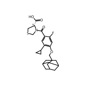 O=C(O)[C@H]1CSCN1C(=O)c1cc(C2CC2)c(OCC23CC4CC(CC(C4)C2)C3)cc1F